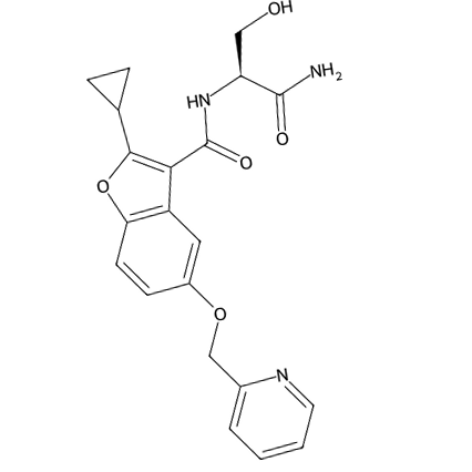 NC(=O)[C@H](CO)NC(=O)c1c(C2CC2)oc2ccc(OCc3ccccn3)cc12